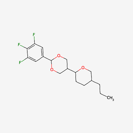 CCCC1CCC(C2COC(c3cc(F)c(F)c(F)c3)OC2)OC1